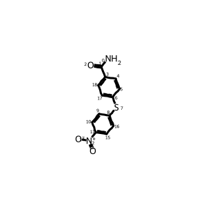 NC(=O)c1ccc(Sc2ccc([N+](=O)[O-])cc2)cc1